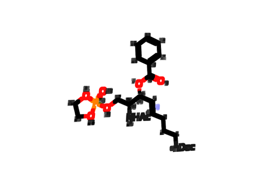 CCCCCCCCCCCCC/C=C/[C@@H](OC(=O)c1ccccc1)[C@H](COP1(=O)OCCO1)NC(C)=O